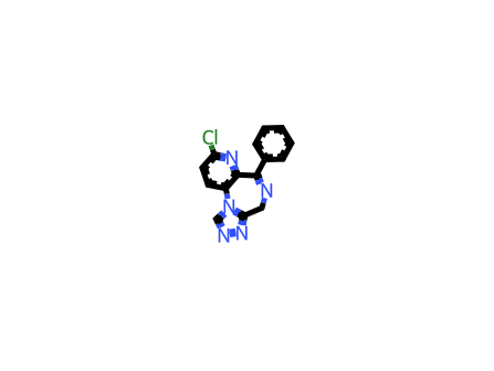 Clc1ccc2c(n1)C(c1ccccc1)=NCc1nncn1-2